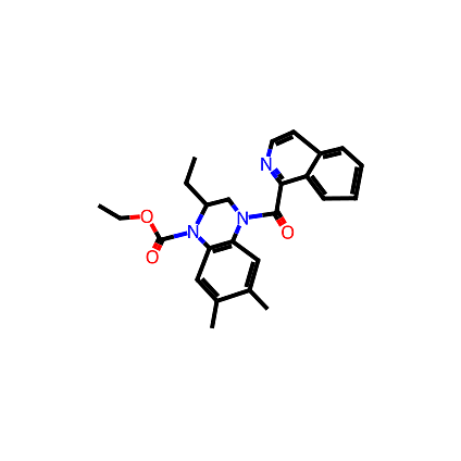 CCOC(=O)N1c2cc(C)c(C)cc2N(C(=O)c2nccc3ccccc23)CC1CC